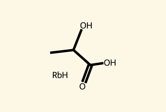 CC(O)C(=O)O.[RbH]